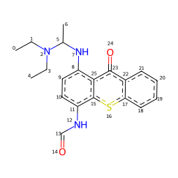 CCN(CC)C(C)Nc1ccc(NC=O)c2sc3ccccc3c(=O)c12